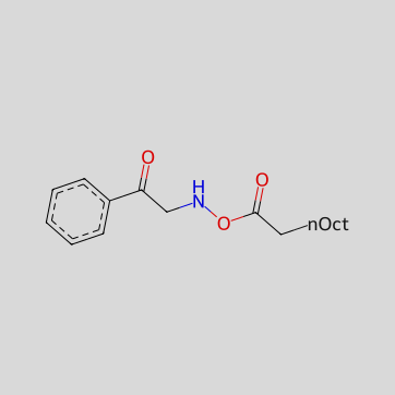 CCCCCCCCCC(=O)ONCC(=O)c1ccccc1